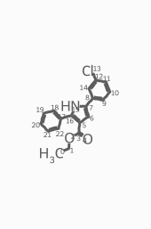 CCOC(=O)c1cc(-c2cccc(Cl)c2)[nH]c1-c1ccccc1